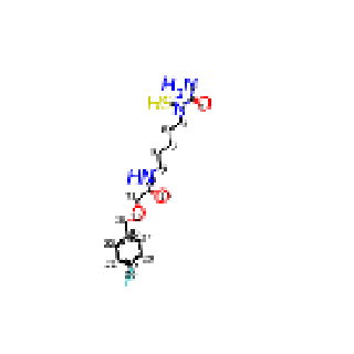 NC(=O)N(S)CCCCCNC(=O)COCc1ccc(F)cc1